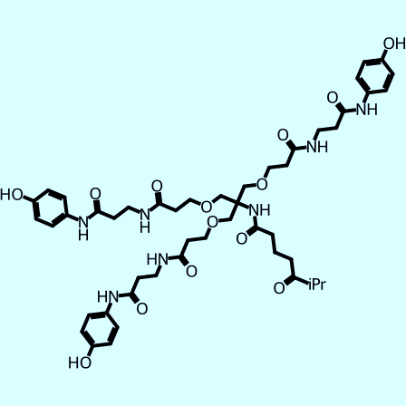 CC(C)C(=O)CCCC(=O)NC(COCCC(=O)NCCC(=O)Nc1ccc(O)cc1)(COCCC(=O)NCCC(=O)Nc1ccc(O)cc1)COCCC(=O)NCCC(=O)Nc1ccc(O)cc1